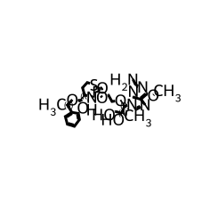 COc1nc(N)nc2c1ncn2[C@H](OCCOP1(=O)N[C@@H](C(=O)O[C@@H](C)c2ccccc2)CCS1)[C@](C)(O)CO